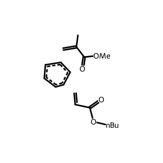 C=C(C)C(=O)OC.C=CC(=O)OCCCC.c1ccccc1